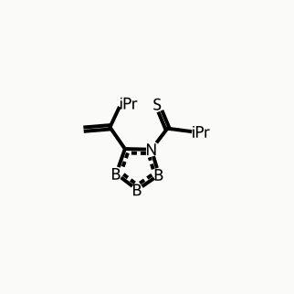 C=C(c1bbbn1C(=S)C(C)C)C(C)C